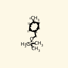 Cc1ccc(CO[Si](C)(C)C)cc1